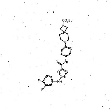 CCOC(=O)C1CC2(CCN(c3ccc(NC(=O)c4nnc(Nc5ccc(F)c(F)c5)o4)cn3)CC2)C1